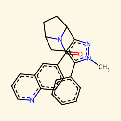 Cn1nc2c(c1-c1ccccc1)CC1CCC2N1C(=O)c1ccc2ncccc2c1